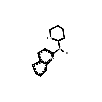 CN(c1ccc2ccccc2n1)C1CCCCN1